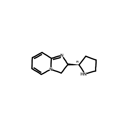 C1=CC2=NC([C@H]3CCCN3)CN2C=C1